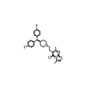 Cc1nc2scc(C)n2c(=O)c1CCN1CCC(=C(c2ccc(F)cc2)c2ccc(F)cc2)CC1